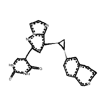 O=c1[nH]cc(-c2cc([C@H]3C[C@@H]3c3ccc4cnccc4c3)c3nccn3n2)c(=O)[nH]1